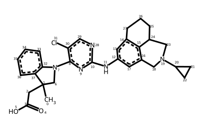 CC1(CC(=O)O)CN(c2nc(Nc3cc4c5c(c3)CN(C3CC3)CC5CCC4)ncc2Cl)c2ccccc21